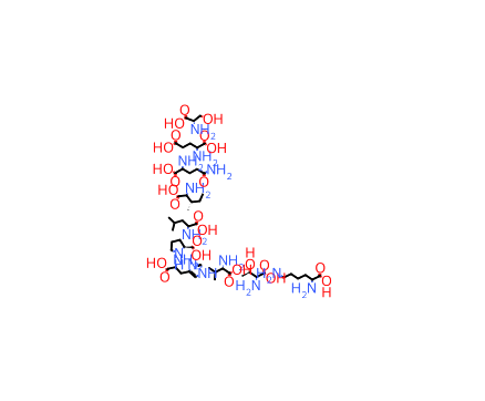 CC(C)C[C@H](N)C(=O)O.CC(C)[C@H](N)C(=O)O.CC[C@H](C)[C@H](N)C(=O)O.C[C@@H](O)[C@H](N)C(=O)O.NC(=O)CC[C@H](N)C(=O)O.NCCCC[C@H](N)C(=O)O.N[C@@H](CCC(=O)O)C(=O)O.N[C@@H](CO)C(=O)O.N[C@@H](Cc1c[nH]cn1)C(=O)O.O=C(O)[C@@H]1CCCN1